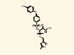 Cc1cc(CSC(C)(C)[C@@H](NS(=O)(=O)c2ccc(Oc3ccc(Br)cc3)cc2)C(=O)NO)no1